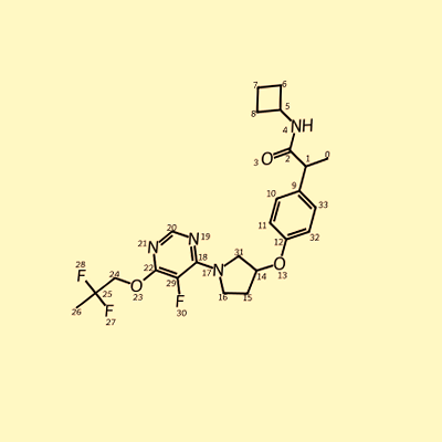 CC(C(=O)NC1CCC1)c1ccc(OC2CCN(c3ncnc(OCC(C)(F)F)c3F)C2)cc1